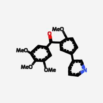 COc1ccc(-c2cccnc2)cc1C(=O)c1cc(OC)c(OC)c(OC)c1